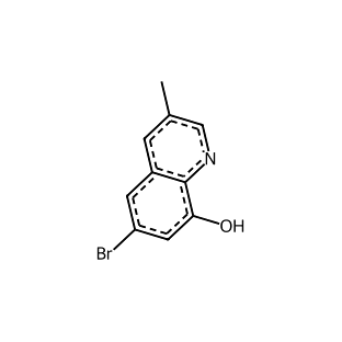 Cc1cnc2c(O)cc(Br)cc2c1